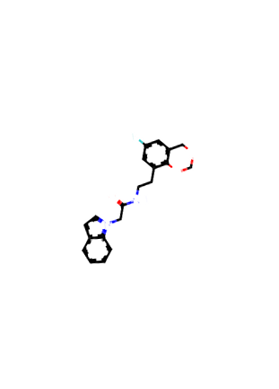 O=C(Cn1ccc2ccccc21)NCCc1cc(F)cc2c1OCOC2